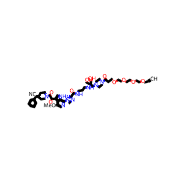 C#CCOCCOCCOCCOCCC(=O)N1CCN(CC(CO)(CO)NCCCNC(=O)c2ncn(-c3ncc(OC)c4c(C(=O)C(=O)N5CCC(=C(C#N)c6ccccc6)CC5)c[nH]c34)n2)CC1